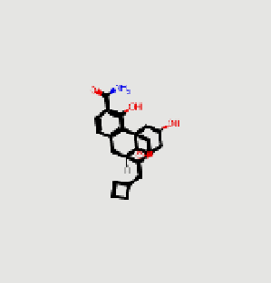 NC(=O)c1ccc2c(c1O)C13CCC(CC4CCC4)[C@H](C2)[C@]1(O)CC[C@H](O)C3